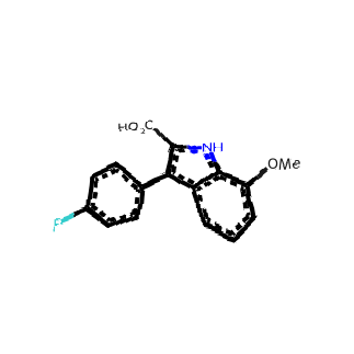 COc1cccc2c(-c3ccc(F)cc3)c(C(=O)O)[nH]c12